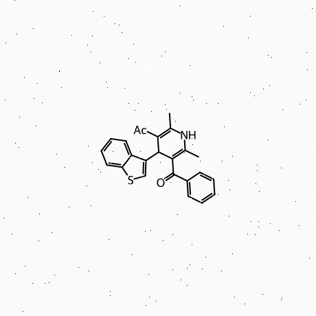 CC(=O)C1=C(C)NC(C)=C(C(=O)c2ccccc2)C1c1csc2ccccc12